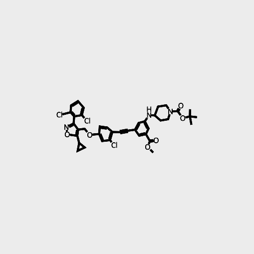 COC(=O)c1cc(C#Cc2ccc(OCc3c(-c4c(Cl)cccc4Cl)noc3C3CC3)cc2Cl)cc(NC2CCN(C(=O)OC(C)(C)C)CC2)c1